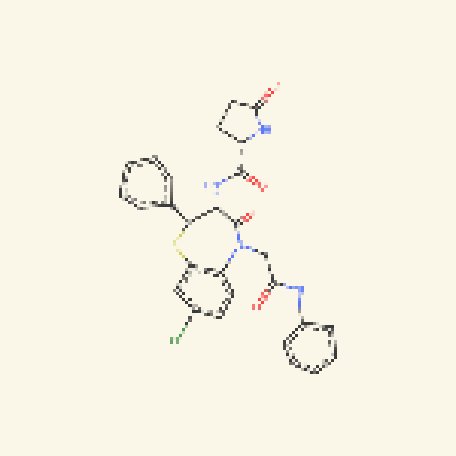 O=C(CN1C(=O)[C@@H](NC(=O)[C@@H]2CCC(=O)N2)[C@H](c2ccccc2)Sc2cc(Cl)ccc21)Nc1ccccc1